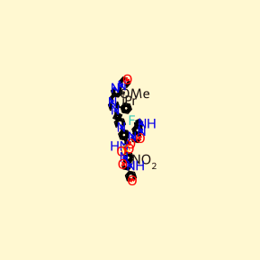 COc1cc(CN2CCN(C3CC4(CCN(c5ccc(C(=O)NS(=O)(=O)c6cc([N+](=O)[O-])c7c(n6)OC[C@@H](C6CCOCC6)N7)c(N6CCOc7nc8[nH]cc(F)c8cc76)c5)CC4)C3)[C@H](c3ccccc3C(C)C)C2)cnc1N1CCOCC1